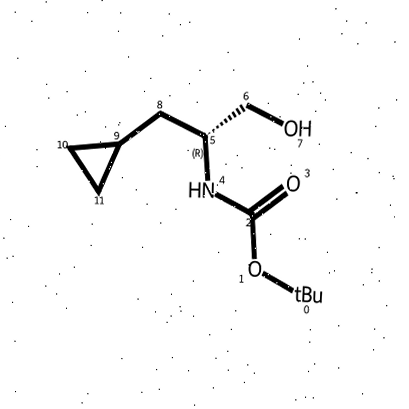 CC(C)(C)OC(=O)N[C@@H](CO)CC1CC1